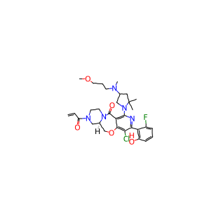 C=CC(=O)N1CCN2C(=O)c3c(N4CC(N(C)CCCOC)CC4(C)C)nc(-c4c(O)cccc4F)c(Cl)c3OC[C@H]2C1